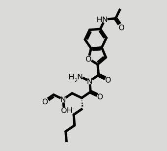 CCCCC[C@H](CN(O)C=O)C(=O)N(N)C(=O)c1cc2cc(NC(C)=O)ccc2o1